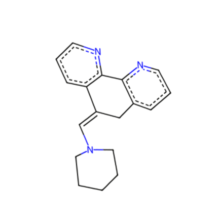 C(=C1Cc2cccnc2-c2ncccc21)N1CCCCC1